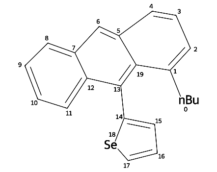 CCCCc1cccc2cc3ccccc3c(-c3ccc[se]3)c12